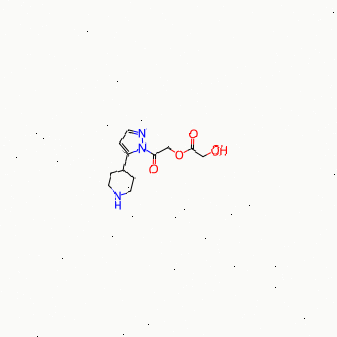 O=C(CO)OCC(=O)n1nccc1C1CCNCC1